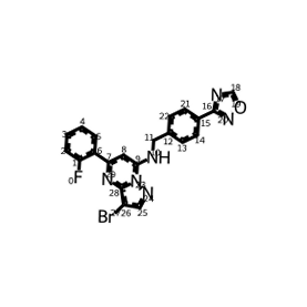 Fc1ccccc1-c1cc(NCc2ccc(-c3ncon3)cc2)n2ncc(Br)c2n1